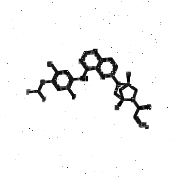 C=CC(=O)N1C[C@@H]2C[C@H]1CN2c1ccc2ncnc(Nc3cc(Cl)c(OC(F)F)cc3F)c2n1